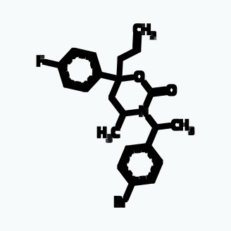 C=CCC1(c2ccc(F)cc2)CC(C)N(C(C)c2ccc(Br)cc2)C(=O)O1